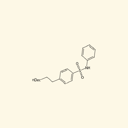 CCCCCCCCCCCCc1ccc(S(=O)(=O)Nc2ccccc2)cc1